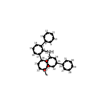 COc1cc(Nc2c(-c3ccccc3)cccc2-c2ccccc2)cc(-c2ccccc2)c1